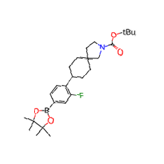 CC(C)(C)OC(=O)N1CCC2(CCC(c3ccc(B4OC(C)(C)C(C)(C)O4)cc3F)CC2)C1